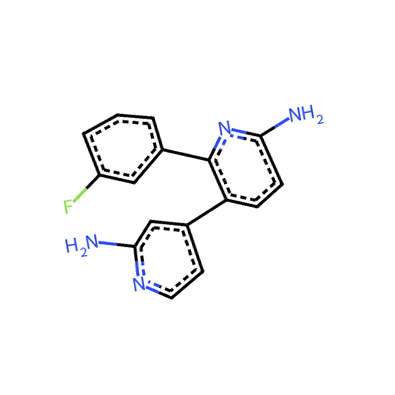 Nc1cc(-c2ccc(N)nc2-c2cccc(F)c2)ccn1